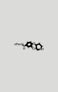 CCCCCNc1ccc(OC2CCNCC2)c(C)c1